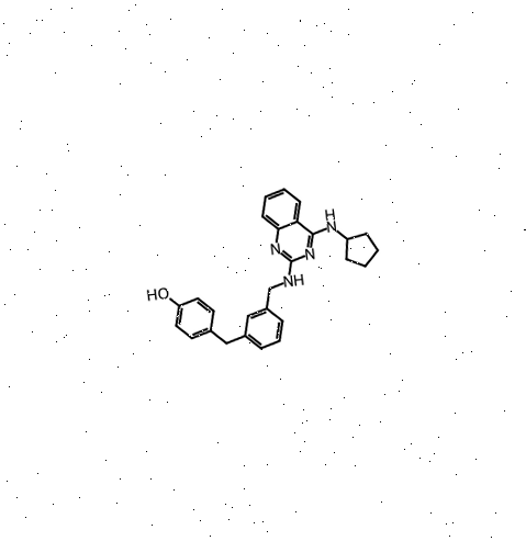 Oc1ccc(Cc2cccc(CNc3nc(NC4CCCC4)c4ccccc4n3)c2)cc1